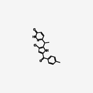 Cc1ccc(C(=O)c2cc(Cl)c(C(C)c3ccc(=O)[nH]n3)[nH]2)cc1